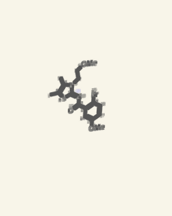 COCCn1c(C)c(C)s/c1=N\C(=O)c1cc(OC)ccc1Br